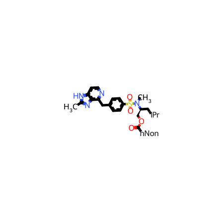 CCCCCCCCCC(=O)OC[C@H](CC(C)C)N(C)S(=O)(=O)c1ccc(Cc2nccc3[nH]c(C)nc23)cc1